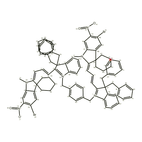 CN1/C(=C/C=C/C2=[N+](Cc3ccc(C[N+]4=C(/C=C/C=C5/N(C)c6cc([N+](=O)[O-])c(Br)cc6C56CCCCC6)C(Cc5ccccc5)(Cc5ccccc5)c5ccccc54)cc3)c3ccccc3C2(Cc2ccccc2)Cc2ccccc2)C2(CCCCC2)c2cc(Br)c([N+](=O)[O-])cc21